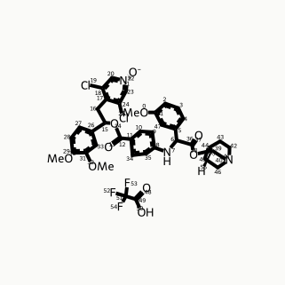 COc1cccc(C(Nc2ccc(C(=O)OC(Cc3c(Cl)c[n+]([O-])cc3Cl)c3ccc(OC)c(OC)c3)cc2)C(=O)O[C@H]2CN3CCC2CC3)c1.O=C(O)C(F)(F)F